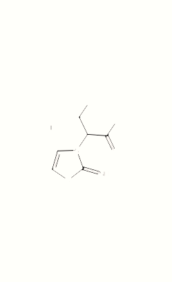 Br.CCC(C(=O)O)n1ccsc1=N